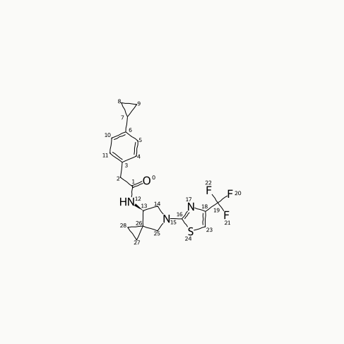 O=C(Cc1ccc(C2CC2)cc1)N[C@H]1CN(c2nc(C(F)(F)F)cs2)CC12CC2